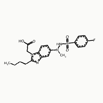 CCCCc1nc2cc(N(C)NS(=O)(=O)c3ccc(F)cc3)ccc2n1CC(=O)O